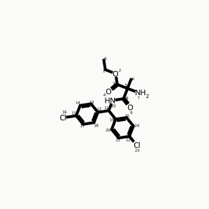 CCOC(=O)C(C)(N)C(=O)NC(c1ccc(Cl)cc1)c1ccc(Cl)cc1